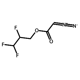 [N-]=[N+]=CC(=O)OCC(F)C(F)F